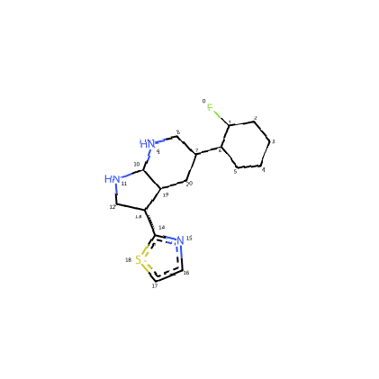 FC1CCCCC1C1CNC2NCC(c3nccs3)C2C1